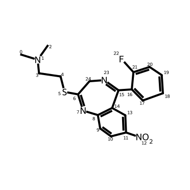 CN(C)CCSC1=Nc2ccc([N+](=O)[O-])cc2C(c2ccccc2F)=NC1